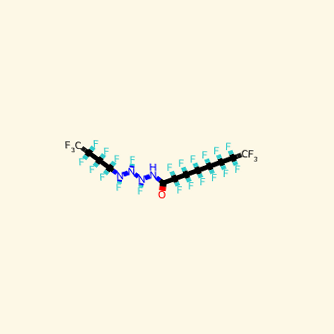 O=C(NN(F)N(F)N(F)C(F)(F)C(F)(F)C(F)(F)C(F)(F)F)C(F)(F)C(F)(F)C(F)(F)C(F)(F)C(F)(F)C(F)(F)C(F)(F)F